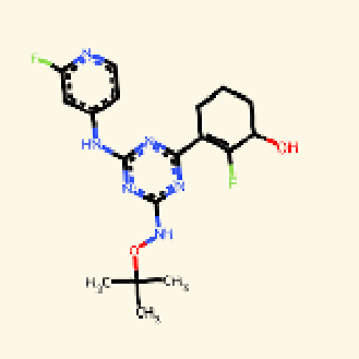 CC(C)(C)ONc1nc(Nc2ccnc(F)c2)nc(C2=C(F)C(O)CCC2)n1